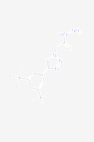 NNC(=O)Cn1cc(-c2cc(C(F)(F)F)cc(C(F)(F)F)c2)nn1